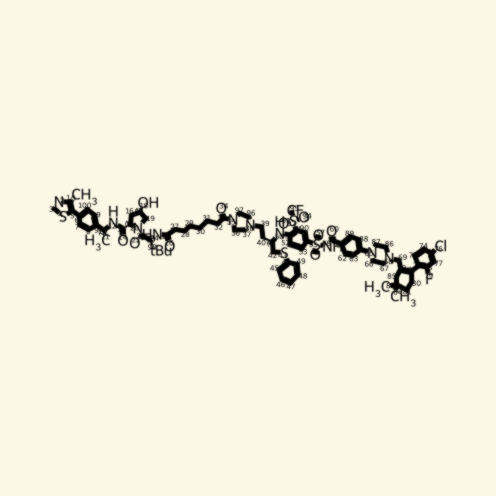 Cc1ncsc1-c1ccc([C@H](C)NC(=O)[C@@H]2C[C@@H](O)CN2C(=O)[C@@H](NC(=O)CCCCCCC(=O)N2CCN(CC[C@H](CSc3ccccc3)Nc3ccc(S(=O)(=O)NC(=O)c4ccc(N5CCN(CC6=C(c7ccc(Cl)cc7F)CCC(C)(C)C6)CC5)cc4)cc3S(=O)(=O)C(F)(F)F)CC2)C(C)(C)C)cc1